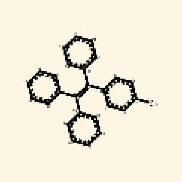 Clc1ccc(C(=C(c2ccccc2)c2ccccc2)c2ccccc2)cc1